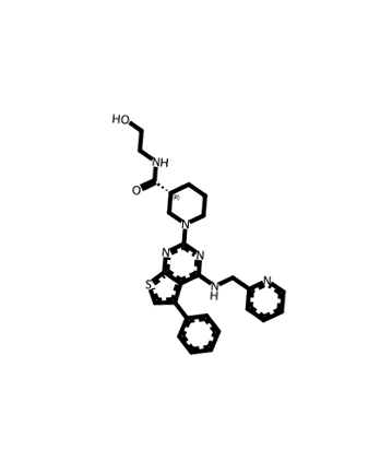 O=C(NCCO)[C@@H]1CCCN(c2nc(NCc3ccccn3)c3c(-c4ccccc4)csc3n2)C1